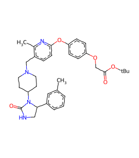 Cc1cccc(C2CNC(=O)N2C2CCN(Cc3ccc(Oc4ccc(OCC(=O)OC(C)(C)C)cc4)nc3C)CC2)c1